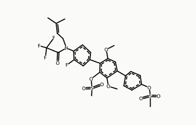 COc1cc(-c2ccc(OS(C)(=O)=O)cc2)c(OC)c(OS(C)(=O)=O)c1-c1ccc(N(CC=C(C)C)C(=O)C(F)(F)F)c(F)c1